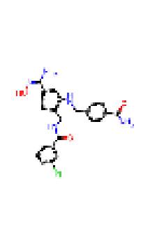 NC(=O)c1ccc(CNc2cc(/C(N)=N\O)ccc2CNC(=O)c2cccc(Cl)c2)cc1